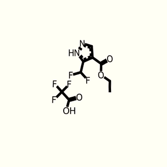 CCOC(=O)c1cn[nH]c1C(F)F.O=C(O)C(F)(F)F